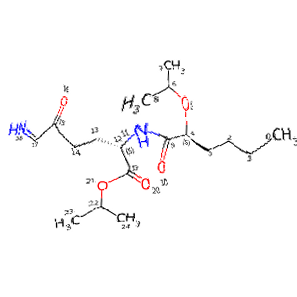 CCCC[C@H](OC(C)C)C(=O)N[C@@H](CCC(=O)C=N)C(=O)OC(C)C